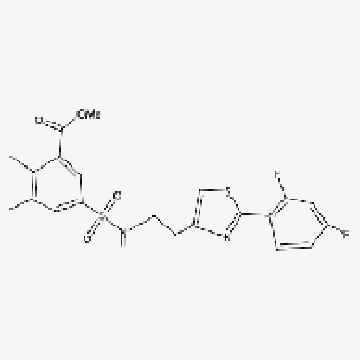 COC(=O)c1cc(S(=O)(=O)NCCc2csc(-c3ccc(F)cc3F)n2)cc(C)c1C